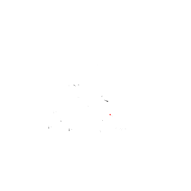 COc1cc(C)cc([C@@H]2c3cc4c(cc3[C@H](C)[C@@H](CO[Si](C(C)C)(C(C)C)C(C)C)[C@H]2C(=O)N2CCOC2=O)OCO4)c1